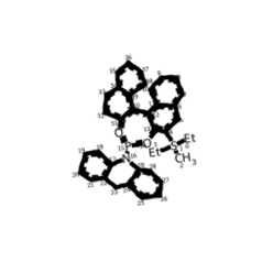 CCS(C)(CC)c1cc2ccccc2c2c1op(N1c3ccccc3Cc3ccccc31)oc1ccc3ccccc3c12